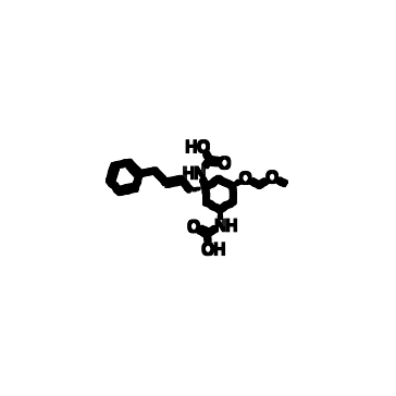 COCO[C@H]1C[C@@H](NC(=O)O)C[C@@](CC=CCc2ccccc2)(NC(=O)O)C1